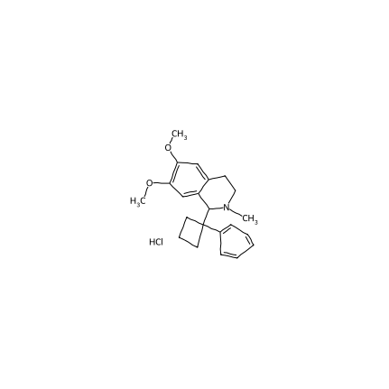 COc1cc2c(cc1OC)C(C1(c3ccccc3)CCC1)N(C)CC2.Cl